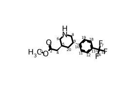 COC(=O)C[C@H]1CNC[C@H](c2ccc(C(F)(F)F)cc2)C1